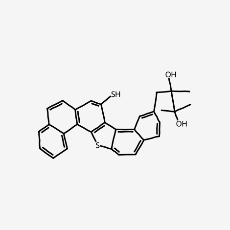 CC(C)(O)C(C)(O)Cc1ccc2ccc3sc4c(c(S)cc5ccc6ccccc6c54)c3c2c1